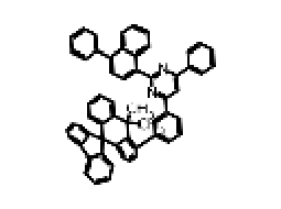 CC1(C)c2ccccc2C2(c3ccccc3-c3ccccc32)c2cccc(-c3cccc(-c4cc(-c5ccccc5)nc(-c5ccc(-c6ccccc6)c6ccccc56)n4)c3)c21